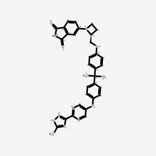 Cc1nc(-c2ncc(Oc3ccc(C(C)(C)c4ccc(OC[C@@H]5CCN5c5ccc6c(c5)C(=O)NC6=O)cc4)cc3)cn2)no1